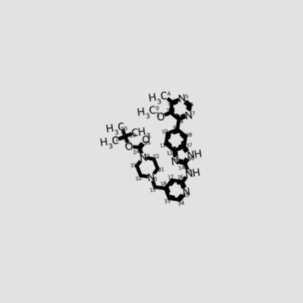 COc1c(C)ncnc1-c1ccc2nc(Nc3cc(CN4CCN(C(=O)OC(C)(C)C)CC4)ccn3)[nH]c2c1